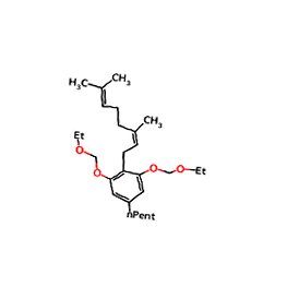 CCCCCc1cc(OCOCC)c(CC=C(C)CCC=C(C)C)c(OCOCC)c1